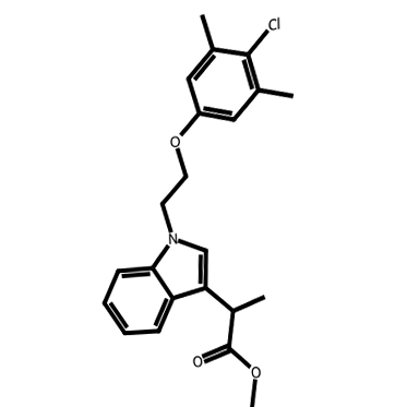 COC(=O)C(C)c1cn(CCOc2cc(C)c(Cl)c(C)c2)c2ccccc12